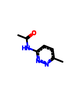 CC(=O)Nc1ccc(C)nn1